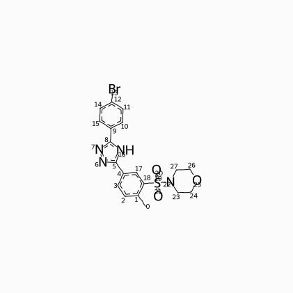 Cc1ccc(-c2nnc(-c3ccc(Br)cc3)[nH]2)cc1S(=O)(=O)N1CCOCC1